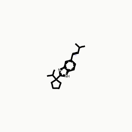 CC(C)/C=C/c1ccc2[nH]c(C3(C(C)C)CCCC3)nc2c1